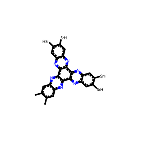 Cc1cc2nc3c(nc2cc1C)c1nc2c[c]([SrH])[c]([SrH])cc2nc1c1nc2c[c]([SrH])[c]([SrH])cc2nc31